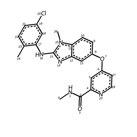 CNC(=O)c1cc(Oc2ccc3c(c2)nc(Nc2cc(Cl)ccc2C)n3C)ccn1